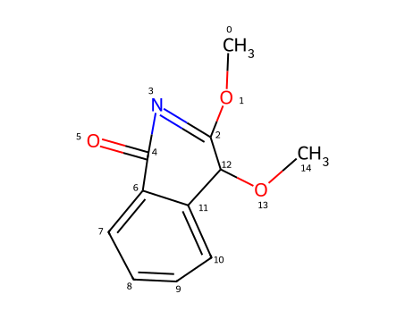 COC1=NC(=O)c2ccccc2C1OC